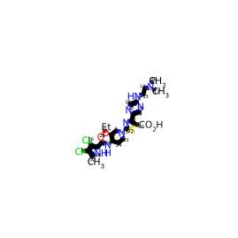 CCO[C@H]1CN(c2nc(-c3cnc(NCCN(C)C)cn3)c(C(=O)O)s2)CC[C@H]1NC(=O)c1[nH]c(C)c(Cl)c1Cl